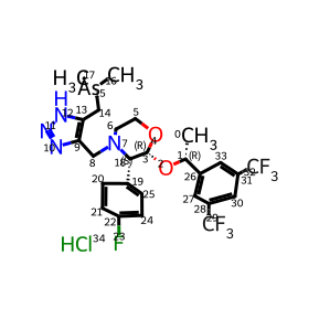 C[C@@H](O[C@H]1OCCN(Cc2nn[nH]c2C[As](C)C)[C@H]1c1ccc(F)cc1)c1cc(C(F)(F)F)cc(C(F)(F)F)c1.Cl